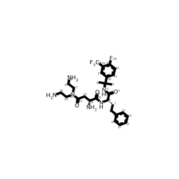 CC(C)(NC(=O)[C@H](CCc1ccccc1)NC(=O)[C@@H](N)CC(=O)N(CCN)CCN)c1ccc(F)c(C(F)(F)F)c1